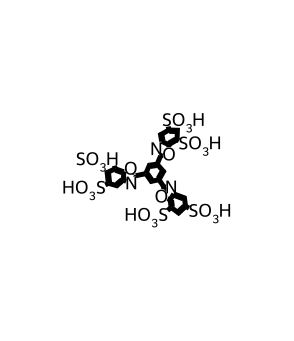 O=S(=O)(O)c1cc(S(=O)(=O)O)c2oc(-c3cc(-c4nc5cc(S(=O)(=O)O)cc(S(=O)(=O)O)c5o4)cc(-c4nc5cc(S(=O)(=O)O)cc(S(=O)(=O)O)c5o4)c3)nc2c1